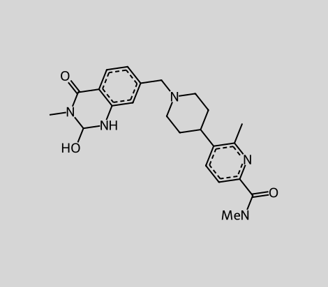 CNC(=O)c1ccc(C2CCN(Cc3ccc4c(c3)NC(O)N(C)C4=O)CC2)c(C)n1